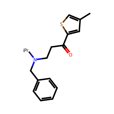 Cc1csc(C(=O)CCN(Cc2ccccc2)C(C)C)c1